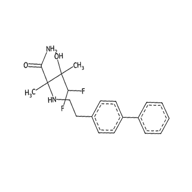 CC(NCCc1ccc(-c2ccccc2)cc1)(C(N)=O)C(C)(O)C(F)F